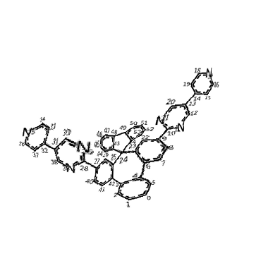 c1ccc2c(c1)-c1ccc(-c3ncc(-c4ccncc4)cn3)cc1C1(c3cc(-c4ncc(-c5ccncc5)cn4)ccc3-2)c2ccccc2-c2ccccc21